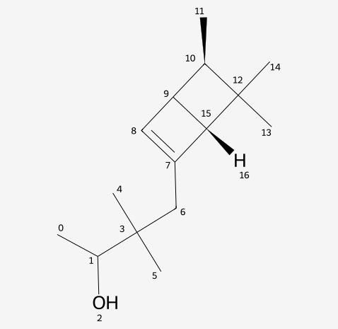 CC(O)C(C)(C)CC1=CC2[C@@H](C)C(C)(C)[C@H]12